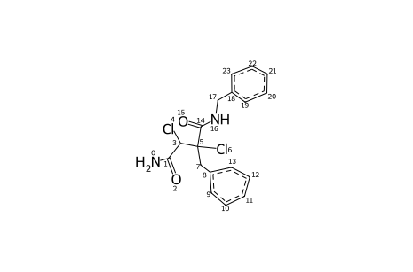 NC(=O)C(Cl)C(Cl)(Cc1ccccc1)C(=O)NCc1ccccc1